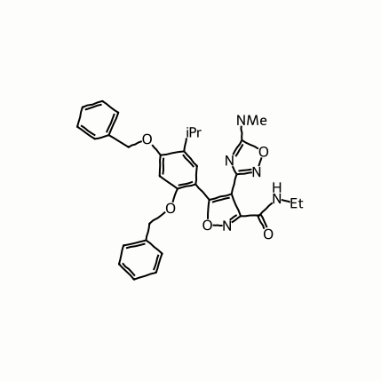 CCNC(=O)c1noc(-c2cc(C(C)C)c(OCc3ccccc3)cc2OCc2ccccc2)c1-c1noc(NC)n1